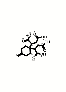 C=C1CCC(C(CC(=O)O)C(=O)O)(C(CC(=O)O)C(=O)O)CC1